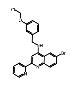 ClCOc1cccc(CNc2cc(-c3ccccn3)nc3ccc(Br)cc23)c1